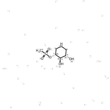 CS(=O)(=O)O[C@@H]1CNC[C@H](O)[C@H]1O